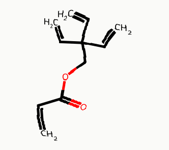 C=CC(=O)OCC(C=C)(C=C)C=C